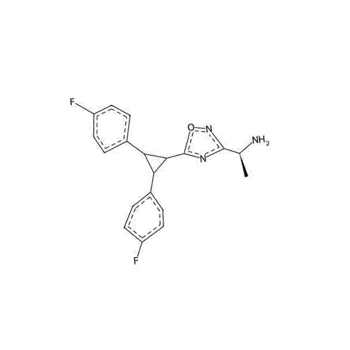 C[C@H](N)c1noc(C2C(c3ccc(F)cc3)C2c2ccc(F)cc2)n1